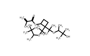 C=C(C)C(=O)OC1CCC1(C(C)(C)OC(C)C(C)(C)O)C(C)(C)OC(C)C(O)(C(F)(F)F)C(F)(F)F